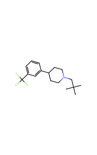 CC(C)(C)CN1CCC(c2c[c]cc(C(F)(F)F)c2)CC1